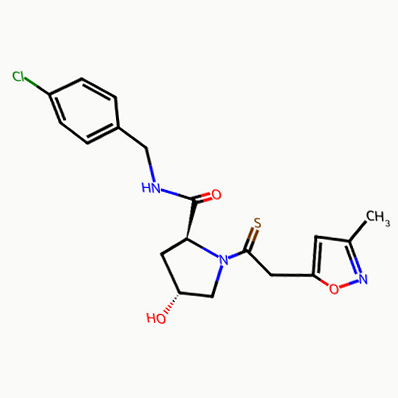 Cc1cc(CC(=S)N2C[C@H](O)C[C@H]2C(=O)NCc2ccc(Cl)cc2)on1